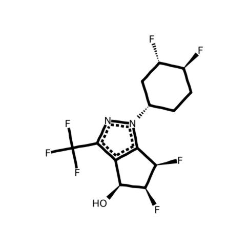 O[C@H]1c2c(C(F)(F)F)nn([C@H]3CC[C@H](F)[C@@H](F)C3)c2[C@@H](F)[C@H]1F